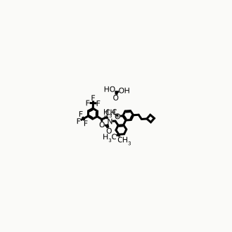 COc1ccc(CCC2CCC2)cc1C1=C(CN2C(=O)OC(c3cc(C(F)(F)F)cc(C(F)(F)F)c3)[C@@H]2C)CC(C)(C)CC1.O=C(O)O